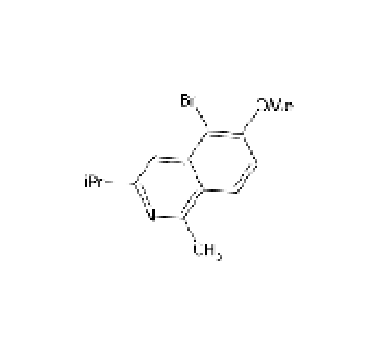 COc1ccc2c(C)nc(C(C)C)cc2c1Br